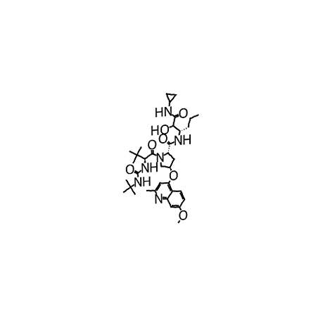 CCC[C@H](NC(=O)[C@@H]1C[C@@H](Oc2cc(C)nc3cc(OC)ccc23)CN1C(=O)[C@@H](NC(=O)NC(C)(C)C)C(C)(C)C)C(O)C(=O)NC1CC1